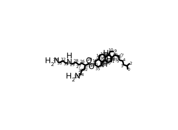 CC(C)CCC[C@@H](C)[C@H]1CC[C@H]2[C@@H]3CC=C4C[C@@H](OC(=O)C(CCCN)CCCCNCCCN)CC[C@]4(C)[C@H]3CC[C@]12C